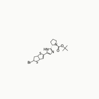 CC(C)(C)OC(=O)N1CCC[C@H]1c1ncc(C2=CC3SC(Br)CC3S2)[nH]1